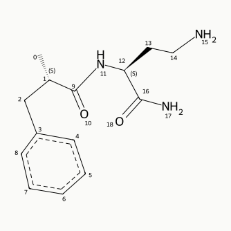 C[C@@H](Cc1ccccc1)C(=O)N[C@@H](CCN)C(N)=O